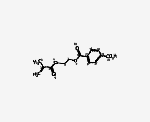 C=C(C)C(=O)OCCOC(=O)c1ccc(C(=O)O)cc1